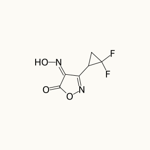 O=C1ON=C(C2CC2(F)F)C1=NO